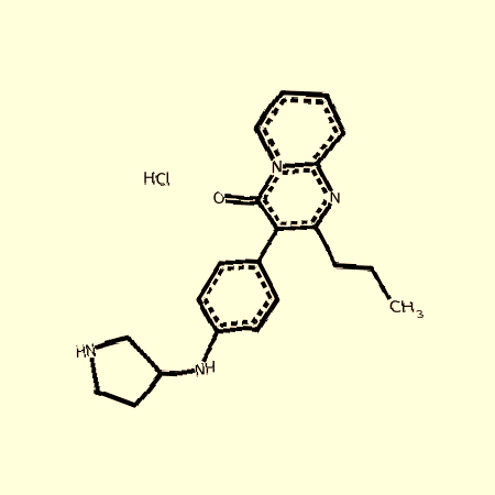 CCCc1nc2ccccn2c(=O)c1-c1ccc(NC2CCNC2)cc1.Cl